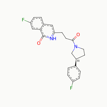 O=C(CCc1cc2ccc(F)cc2c(=O)[nH]1)N1CC[C@@H](c2ccc(F)cc2)C1